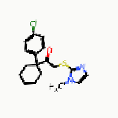 Cn1ccnc1SCC(=O)C1(c2ccc(Cl)cc2)CCCCC1